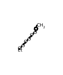 C=Cc1ccc(OCCOCCOCCOCCOCCOCC)cc1